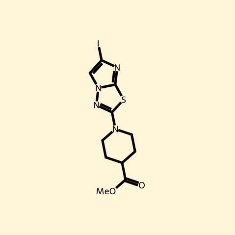 COC(=O)C1CCN(c2nn3cc(I)nc3s2)CC1